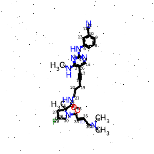 CNc1nc(Nc2cccc(C#N)c2)ncc1C#CCCCNC(=O)[C@]1(C)C[C@H](F)CN1C(=O)/C=C/CN(C)C